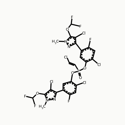 Cn1nc(-c2cc(OP(=O)(C=CCl)Oc3cc(-c4nn(C)c(OC(F)F)c4Cl)c(F)cc3Cl)c(Cl)cc2F)c(Cl)c1OC(F)F